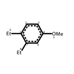 CCc1[c]cc(OC)cc1CC